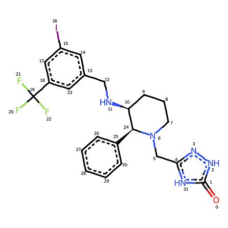 O=c1[nH]nc(CN2CCC[C@H](NCc3cc(I)cc(C(F)(F)F)c3)[C@@H]2c2ccccc2)[nH]1